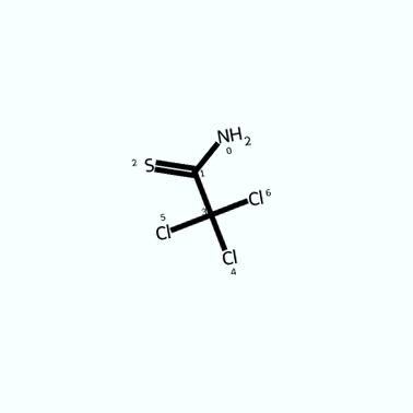 NC(=S)C(Cl)(Cl)Cl